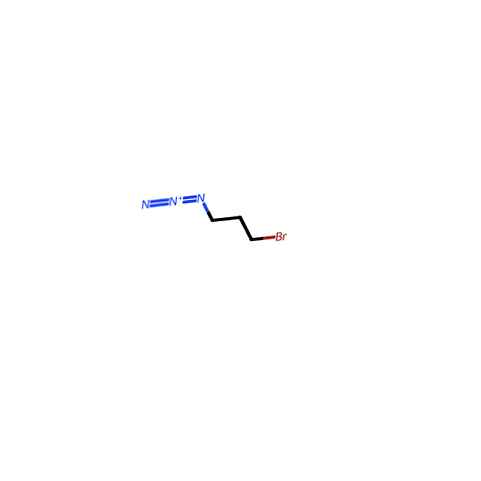 [N-]=[N+]=NCCCBr